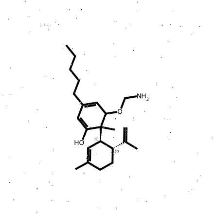 C=C(C)[C@@H]1CCC(C)=C[C@H]1C1(C)C(O)=CC(CCCCC)=CC1OCN